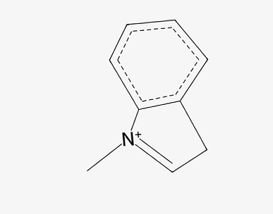 C[N+]1=CCc2ccccc21